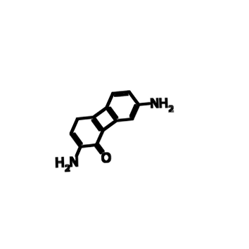 NC1=CCC2=C(C1=O)c1cc(N)ccc12